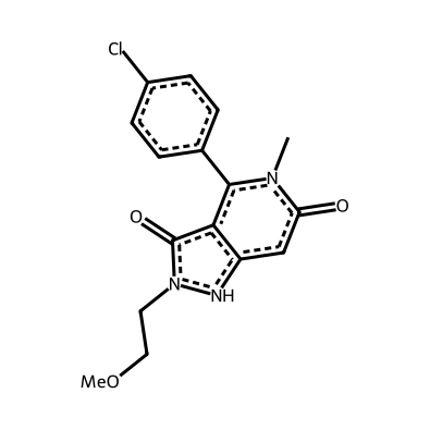 COCCn1[nH]c2cc(=O)n(C)c(-c3ccc(Cl)cc3)c2c1=O